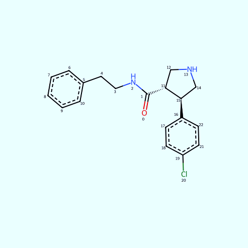 O=C(NCCc1ccccc1)[C@@H]1CNC[C@H]1c1ccc(Cl)cc1